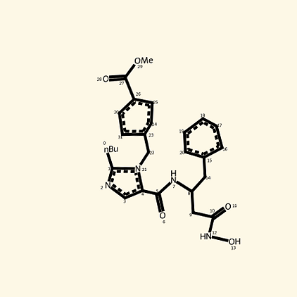 CCCCc1ncc(C(=O)NC(CC(=O)NO)Cc2ccccc2)n1Cc1ccc(C(=O)OC)cc1